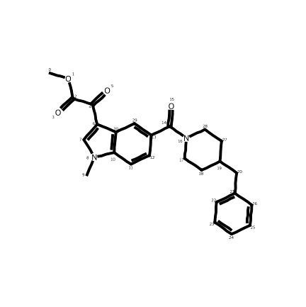 COC(=O)C(=O)c1cn(C)c2ccc(C(=O)N3CCC(Cc4ccccc4)CC3)cc12